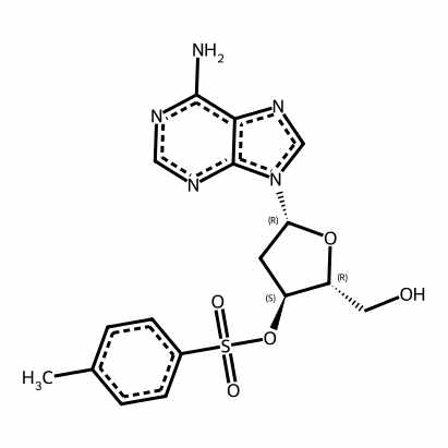 Cc1ccc(S(=O)(=O)O[C@H]2C[C@H](n3cnc4c(N)ncnc43)O[C@@H]2CO)cc1